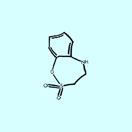 O=S1(=O)CCNc2ccccc2O1